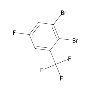 Fc1cc(Br)c(Br)c(C(F)(F)F)c1